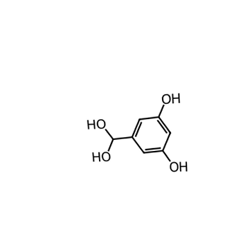 Oc1cc(O)cc(C(O)O)c1